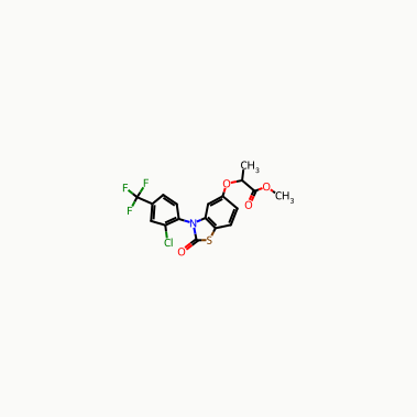 COC(=O)C(C)Oc1ccc2sc(=O)n(-c3ccc(C(F)(F)F)cc3Cl)c2c1